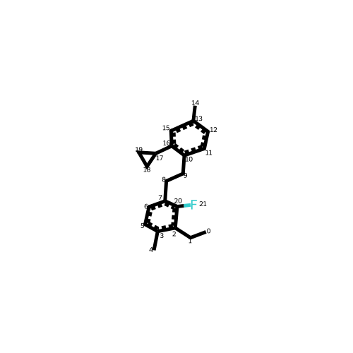 CCc1c(C)ccc(CCc2ccc(C)cc2C2CC2)c1F